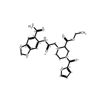 CCOC(=O)C1CN(C(=O)c2ccco2)CCN1CC(=O)Nc1cc2c(cc1C(C)=O)OCO2